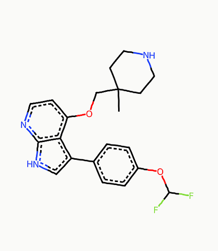 CC1(COc2ccnc3[nH]cc(-c4ccc(OC(F)F)cc4)c23)CCNCC1